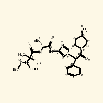 CCCC[C@@H](NC(=O)C(C)(C)N(C=O)OC(C)(C)C)C(=O)Nc1cn(C(C(=O)N2CCC(C)CC2)c2ccccc2)cn1